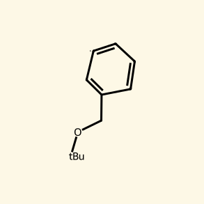 CC(C)(C)OCc1c[c]ccc1